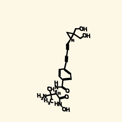 CC(C)(N)[C@H](NC(=O)c1ccc(C#CC#C[C@H]2CC2(CO)CO)cc1)C(=O)NO